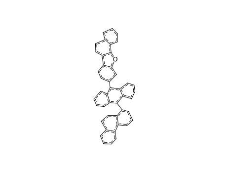 c1ccc2c(c1)ccc1c(-c3c4ccccc4c(-c4ccc5c(c4)oc4c6ccccc6ccc54)c4ccccc34)cccc12